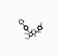 CC(C)CC(NC(=O)Nc1ccc(Cl)cc1)C(=O)Nc1ccc(N2CCOCC2)cc1